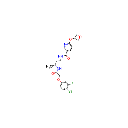 C=C(CCNC(=O)c1ccc(OC2COC2)nc1)NC(=O)COc1ccc(Cl)c(F)c1